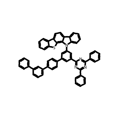 c1ccc(-c2cccc(-c3ccc(-c4cc(-c5nc(-c6ccccc6)nc(-c6ccccc6)n5)cc(-n5c6ccccc6c6ccc7c8ccccc8sc7c65)c4)cc3)c2)cc1